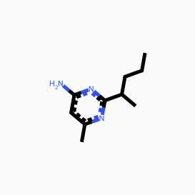 CCCC(C)c1nc(C)cc(N)n1